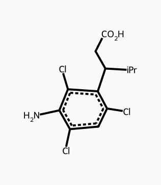 CC(C)C(CC(=O)O)c1c(Cl)cc(Cl)c(N)c1Cl